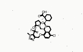 Cn1nnc(COc2ccc(Cl)c3c2[C@@H](CN2CCCC2=O)N(C(=O)[C@@H]2CCCC[C@]2(C)C(=O)O)CC3)c1C(F)(F)F